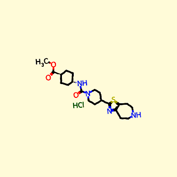 COC(=O)[C@H]1CC[C@H](NC(=O)N2CCC(c3nc4c(s3)CCNCC4)CC2)CC1.Cl